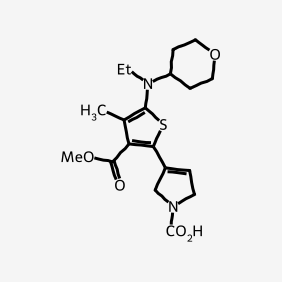 CCN(c1sc(C2=CCN(C(=O)O)C2)c(C(=O)OC)c1C)C1CCOCC1